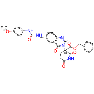 Cc1nc2ccc(CNC(=O)Nc3ccc(OC(F)(F)F)cc3)cc2c(=O)n1[C@@]1(C(=O)OCc2ccccc2)CCC(=O)NC1=O